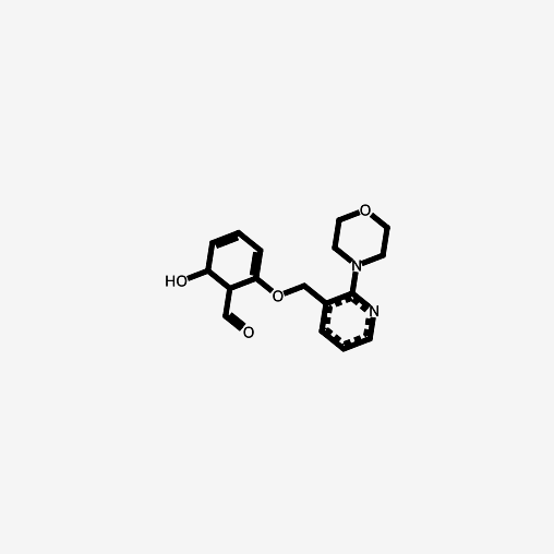 O=CC1C(OCc2cccnc2N2CCOCC2)=CC=CC1O